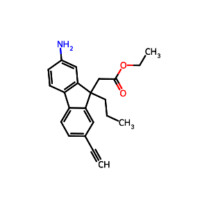 C#Cc1ccc2c(c1)C(CCC)(CC(=O)OCC)c1cc(N)ccc1-2